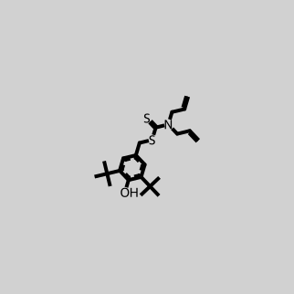 C=CCN(CC=C)C(=S)SCc1cc(C(C)(C)C)c(O)c(C(C)(C)C)c1